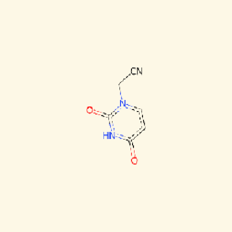 N#CCn1ccc(=O)[nH]c1=O